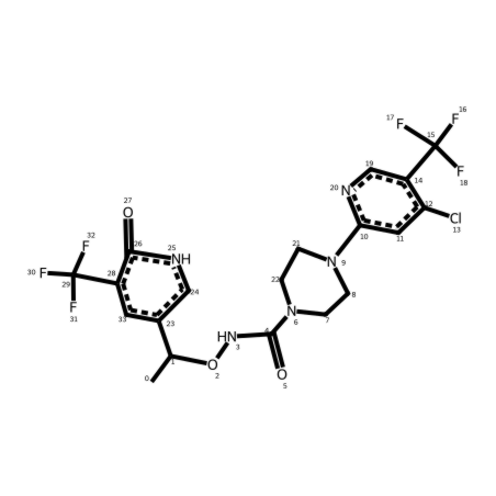 CC(ONC(=O)N1CCN(c2cc(Cl)c(C(F)(F)F)cn2)CC1)c1c[nH]c(=O)c(C(F)(F)F)c1